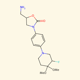 COC1(OC)CCN(c2ccc(N3CC(CN)OC3=O)cc2)CC1F